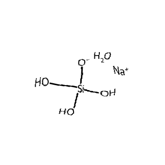 O.[Na+].[O-][Si](O)(O)O